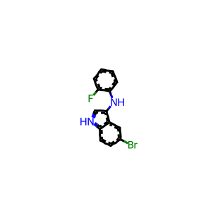 Fc1ccccc1Nc1c[nH]c2ccc(Br)cc12